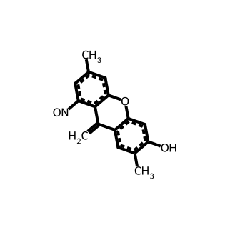 C=C1c2cc(C)c(O)cc2Oc2cc(C)cc(N=O)c21